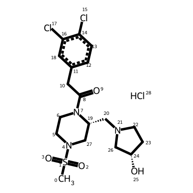 CS(=O)(=O)N1CCN(C(=O)Cc2ccc(Cl)c(Cl)c2)[C@H](CN2CC[C@H](O)C2)C1.Cl